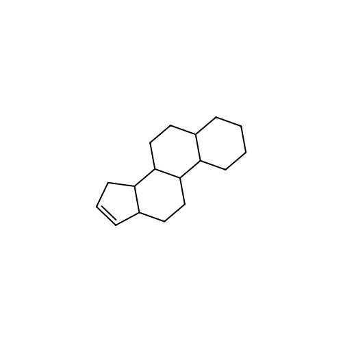 C1=CC2CCC3C4CCCCC4CCC3C2C1